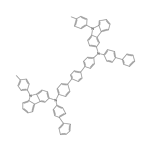 Cc1ccc(-n2c3ccccc3c3cc(N(c4ccc(-c5ccccc5)cc4)c4ccc(-c5ccc(-c6ccc(N(c7ccc(-c8ccccc8)cc7)c7ccc8c(c7)c7ccccc7n8-c7ccc(C)cc7)cc6)cc5)cc4)ccc32)cc1